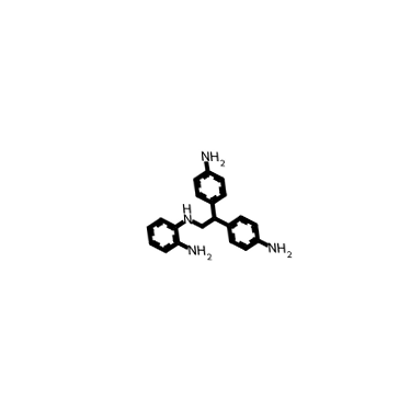 Nc1ccc(C(CNc2ccccc2N)c2ccc(N)cc2)cc1